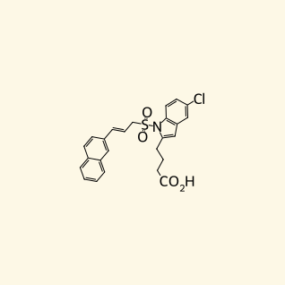 O=C(O)CCCc1cc2cc(Cl)ccc2n1S(=O)(=O)CC=Cc1ccc2ccccc2c1